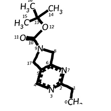 CCc1ncc2c(n1)CN(C(=O)OC(C)(C)C)C2